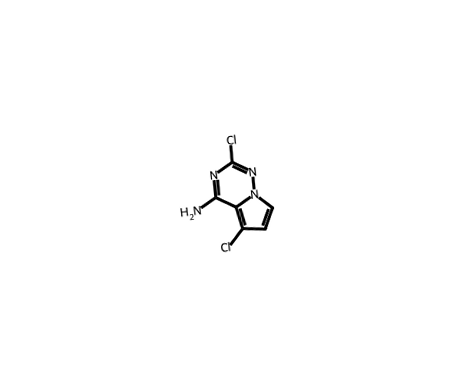 Nc1nc(Cl)nn2ccc(Cl)c12